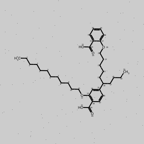 CCCCCCCCCCCCOc1cc(C(CCCC)CCCCCOc2ccccc2C(=O)O)ccc1C(=O)O